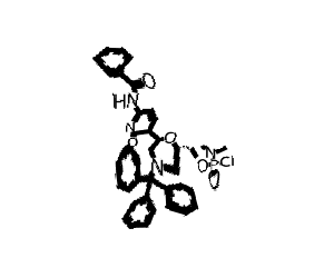 CN(C)P(=O)(Cl)OC[C@@H]1CN(C(c2ccccc2)(c2ccccc2)c2ccccc2)CC(C2C=CC(NC(=O)c3ccccc3)=NC2=O)O1